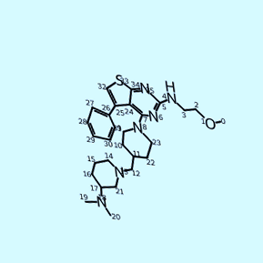 COCCNc1nc(N2CCC(CN3CCCC(N(C)C)C3)CC2)c2c(-c3ccccc3)csc2n1